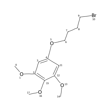 COc1cc(OCCCCBr)cc(OC)c1OC